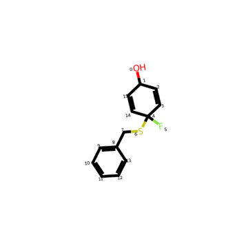 OC1C=CC(F)(SCc2ccccc2)C=C1